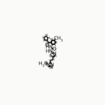 Cc1ccc(NC(=O)Nc2ncc(CCc3nncn3C)s2)c(C(=O)C2CCCC2)c1